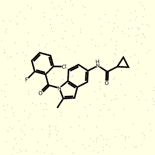 Cc1cc2cc(NC(=O)C3CC3)ccc2n1C(=O)c1c(F)cccc1Cl